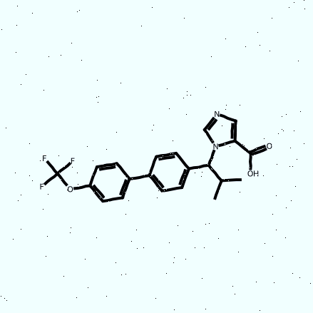 CC(C)C(c1ccc(-c2ccc(OC(F)(F)F)cc2)cc1)n1cncc1C(=O)O